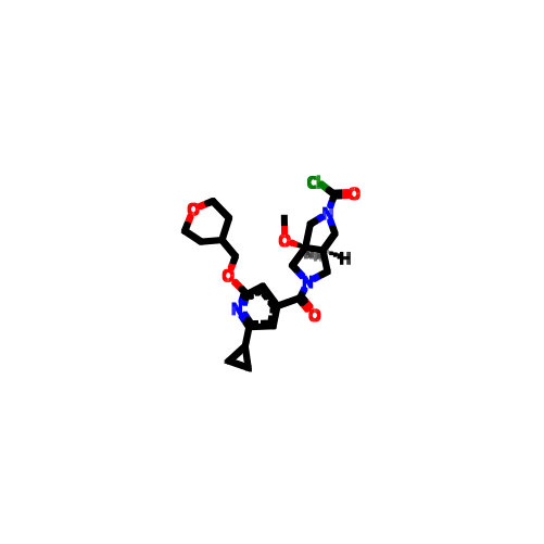 CO[C@@]12CN(C(=O)Cl)C[C@H]1CN(C(=O)c1cc(OCC3CCOCC3)nc(C3CC3)c1)C2